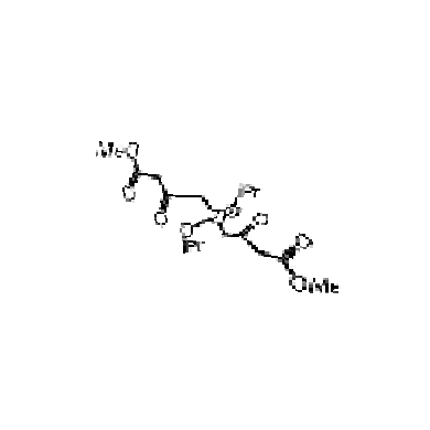 COC(=O)CC(=O)[CH2][Zr]([CH2]C(=O)CC(=O)OC)([O]C(C)C)[O]C(C)C